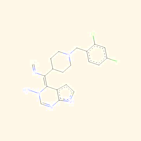 C=N/C(=C1/c2cc[nH]c2N=CN1N)C1CCN(Cc2ccc(F)cc2Cl)CC1